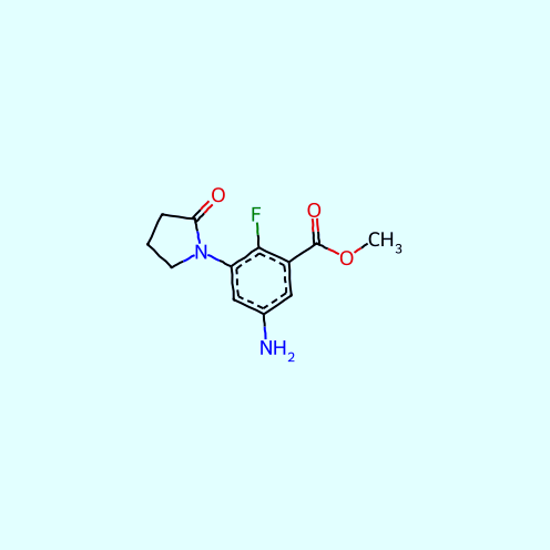 COC(=O)c1cc(N)cc(N2CCCC2=O)c1F